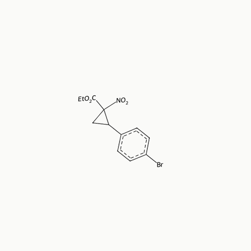 CCOC(=O)C1([N+](=O)[O-])CC1c1ccc(Br)cc1